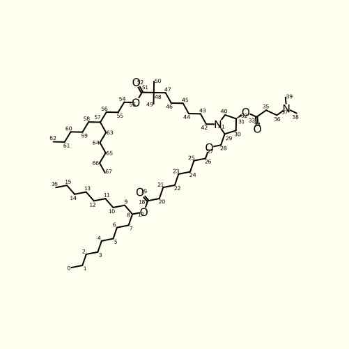 CCCCCCCCC(CCCCCCCC)OC(=O)CCCCCCCOCC1C[C@H](OC(=O)CCN(C)C)CN1CCCCCCC(C)(C)C(=O)OCCCC(CCCCC)CCCCC